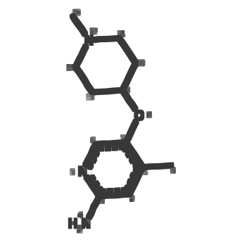 Cc1cc(N)ncc1OC1CCN(C)CC1